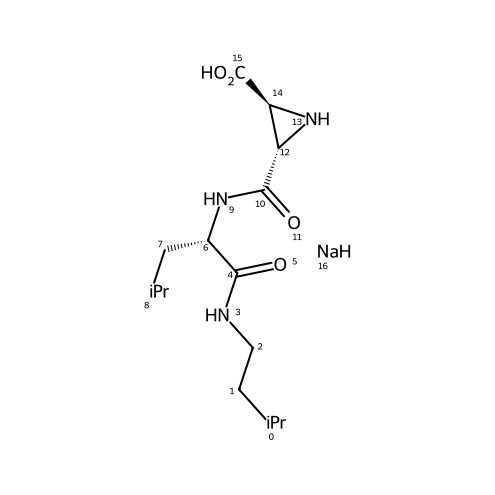 CC(C)CCNC(=O)[C@H](CC(C)C)NC(=O)[C@H]1N[C@@H]1C(=O)O.[NaH]